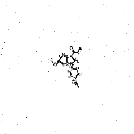 COc1cnc2c(C(=O)CBr)c(C)n(-c3ccc(C#N)cc3)c2c1